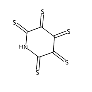 S=c1[nH]c(=S)c(=S)c(=S)c1=S